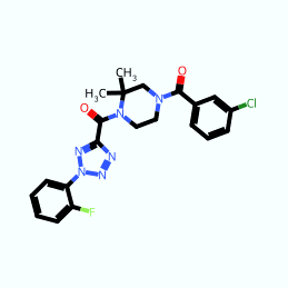 CC1(C)CN(C(=O)c2cccc(Cl)c2)CCN1C(=O)c1nnn(-c2ccccc2F)n1